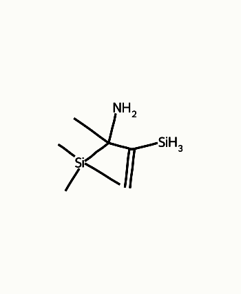 C=C([SiH3])C(C)(N)[Si](C)(C)C